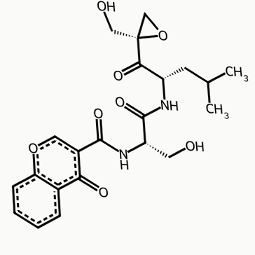 CC(C)C[C@H](NC(=O)[C@H](CO)NC(=O)c1coc2ccccc2c1=O)C(=O)[C@@]1(CO)CO1